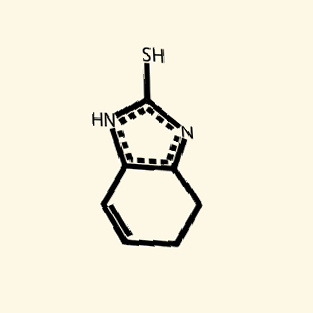 Sc1nc2c([nH]1)C=CCC2